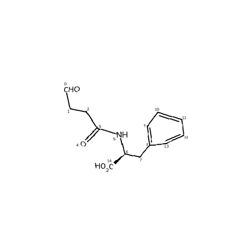 O=CCCC(=O)N[C@@H](Cc1ccccc1)C(=O)O